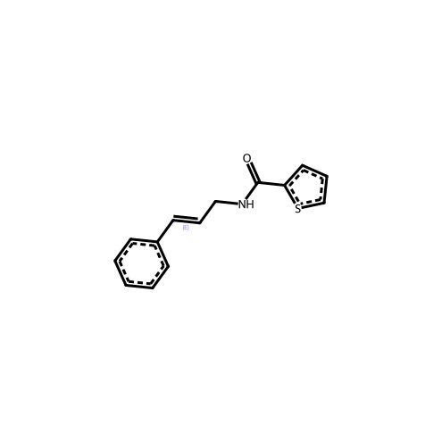 O=C(NC/C=C/c1ccccc1)c1cccs1